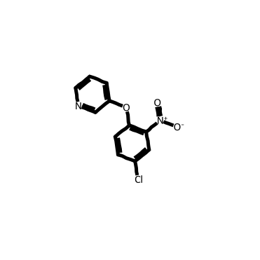 O=[N+]([O-])c1cc(Cl)ccc1Oc1cccnc1